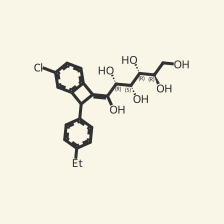 CCc1ccc(C2C(=C(O)[C@H](O)[C@@H](O)[C@H](O)[C@H](O)CO)c3ccc(Cl)cc32)cc1